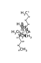 B.CCCCCON.CCCC[N+](C)(C)C.[BH4-]